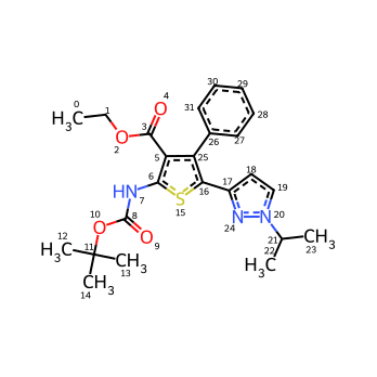 CCOC(=O)c1c(NC(=O)OC(C)(C)C)sc(-c2ccn(C(C)C)n2)c1-c1ccccc1